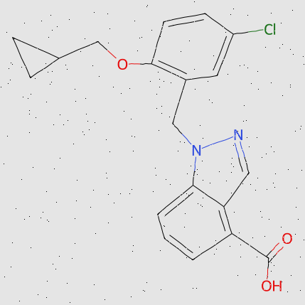 O=C(O)c1cccc2c1cnn2Cc1cc(Cl)ccc1OCC1CC1